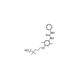 Cc1cc(OCCCC(C)(C)C(=O)O)c(C)cc1NC(=S)Nc1ccccc1